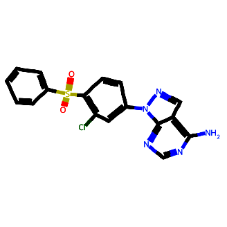 Nc1ncnc2c1cnn2-c1ccc(S(=O)(=O)c2ccccc2)c(Cl)c1